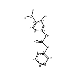 Cc1cc(OC(=O)Cc2ccccc2)ccc1C(C)C